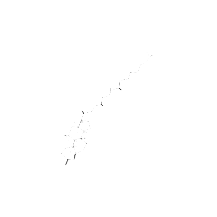 C[C@]12CCC(=O)C=C1CC[C@@H]1[C@@H]2[C@@H](O)C[C@@]2(C)[C@H]1CC[C@]2(O)C(=O)COC(=O)CCNC(=O)CCCCCON(O)O